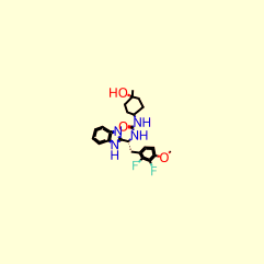 COc1ccc(C[C@@H](NC(=O)NC2CCC(C)(O)CC2)c2nc3ccccc3[nH]2)c(F)c1F